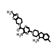 Cc1ccc2c(c1)C(N)C1(CCN(c3cnc(C(=O)N4CCc5nc(N)sc5C4)c(N)n3)CC1)C2